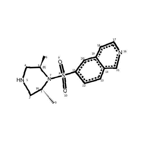 C[C@@H]1CNC[C@@H](C)N1S(=O)(=O)c1ccc2cnccc2c1